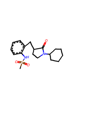 CS(=O)(=O)Nc1ccccc1CC1CCN(C2CCCCC2)C1=O